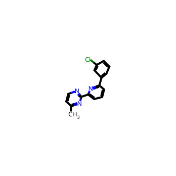 Cc1ccnc(-c2cccc(-c3cccc(Cl)c3)n2)n1